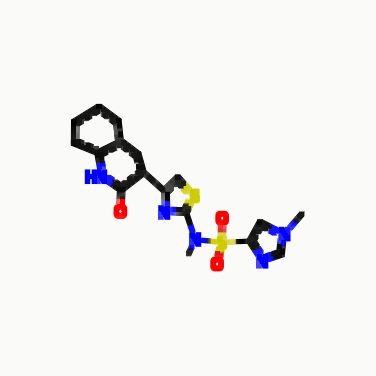 CN(c1nc(-c2cc3ccccc3[nH]c2=O)cs1)S(=O)(=O)c1cn(C)cn1